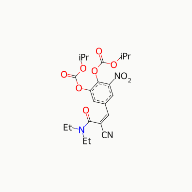 CCN(CC)C(=O)C(C#N)=Cc1cc(OC(=O)OC(C)C)c(OC(=O)OC(C)C)c([N+](=O)[O-])c1